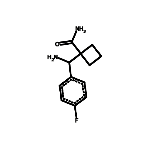 NC(=O)C1(C(N)c2ccc(F)cc2)CCC1